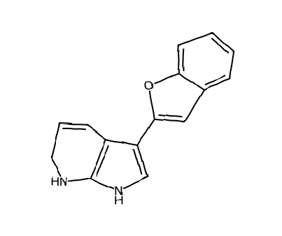 C1=Cc2c(-c3cc4ccccc4o3)c[nH]c2NC1